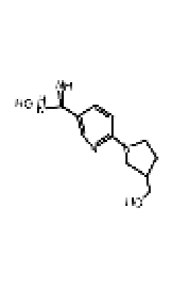 N=C(NO)c1ccc(N2CCC(CO)C2)nc1